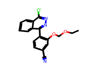 CCOCOc1cc(C#N)ccc1-c1nnc(Cl)c2ccccc12